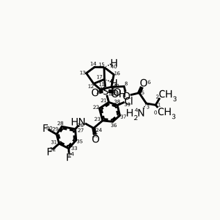 CC(C)[C@H](N)C(=O)OC[C@]1(O)CC2CC[C@@H](C1)[C@H]2S(=O)(=O)c1cc(C(=O)Nc2cc(F)c(F)c(F)c2)ccc1Cl